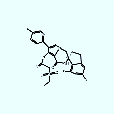 CCS(=O)(=O)CC(=O)Nc1c(-c2ccc(C)cn2)nn2c1C(=O)N[C@@]1(CCc3cc(F)cc(F)c31)C2